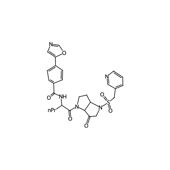 CCCC(NC(=O)c1ccc(-c2cnco2)cc1)C(=O)N1CCC2C1C(=O)CN2S(=O)(=O)Cc1cccnc1